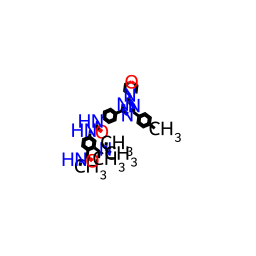 CNC(=O)c1ccc(NC(=O)Nc2ccc(-c3nc(-c4ccc(C)cc4)nc(N4CCOCC4)n3)cc2)cc1C(C)N(C)C